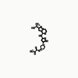 CC[C@H](C)NC(=O)O[C@@H]1CC[C@H](c2cc(Nc3nccn4nc([C@H](C)O)cc34)n[nH]2)C1